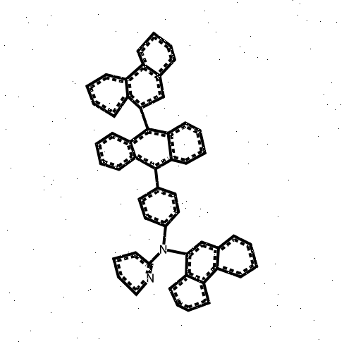 c1ccc(N(c2ccc(-c3c4ccccc4c(-c4cc5ccccc5c5ccccc45)c4ccccc34)cc2)c2cc3ccccc3c3ccccc23)nc1